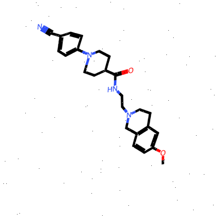 COc1ccc2c(c1)CCN(CCNC(=O)C1CCN(c3ccc(C#N)cc3)CC1)C2